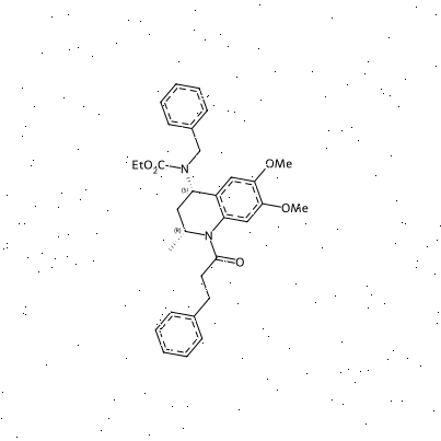 CCOC(=O)N(Cc1ccccc1)[C@H]1C[C@@H](C)N(C(=O)CCc2ccccc2)c2cc(OC)c(OC)cc21